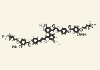 COc1cc(C(=O)Oc2ccc(/C=C/C(=O)Cc3cc(N)ccc3-c3ccc(N)cc3CC(=O)/C=C/c3ccc(OC(=O)c4ccc(OCCCC(F)(F)C(F)(F)F)c(OC)c4)cc3)cc2)ccc1OCCCC(F)(F)C(F)(F)F